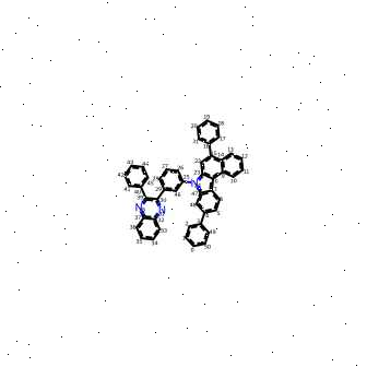 c1ccc(-c2ccc3c4c5ccccc5c(-c5ccccc5)cc4n(-c4cccc(-c5nc6ccccc6nc5-c5ccccc5)c4)c3c2)cc1